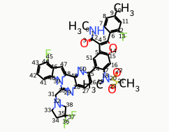 CNC(=O)c1c(-c2ccc(C)cc2F)oc2cc(N(C)S(C)(=O)=O)c(-c3ccc4nc(CN5CCC(F)(F)C5)n5c6cccc(F)c6cc5c4n3)cc12